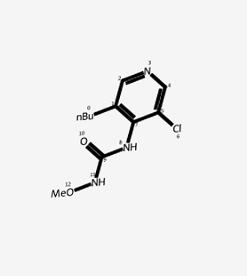 CCCCc1cncc(Cl)c1NC(=O)NOC